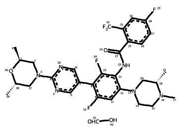 C[C@H]1CN(c2ncc(-c3c(F)cc(N4CCN(C)[C@@H](C)C4)c(NC(=O)c4ccc(F)cc4C(F)(F)F)c3F)cn2)C[C@H](C)O1.O=CO